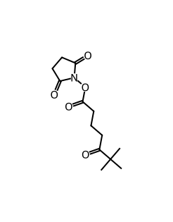 CC(C)(C)C(=O)CCCC(=O)ON1C(=O)CCC1=O